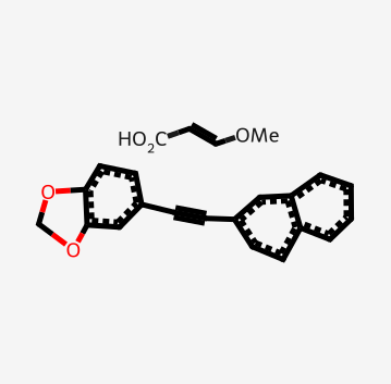 C(#Cc1ccc2ccccc2c1)c1ccc2c(c1)OCO2.COC=CC(=O)O